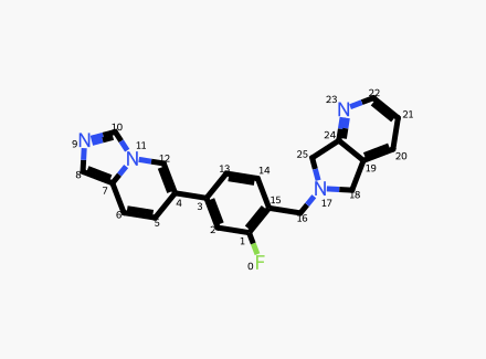 Fc1cc(-c2ccc3cncn3c2)ccc1CN1Cc2cccnc2C1